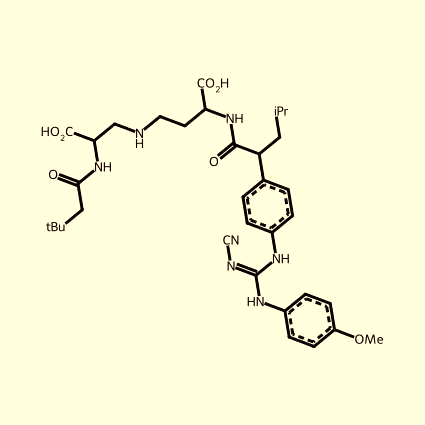 COc1ccc(NC(=NC#N)Nc2ccc(C(CC(C)C)C(=O)NC(CCNCC(NC(=O)CC(C)(C)C)C(=O)O)C(=O)O)cc2)cc1